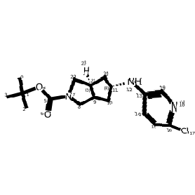 CC(C)(C)OC(=O)N1CC2C[C@@H](Nc3ccc(Cl)nc3)C[C@@H]2C1